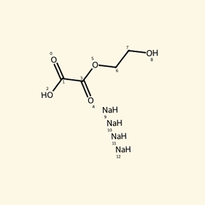 O=C(O)C(=O)OCCO.[NaH].[NaH].[NaH].[NaH]